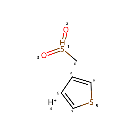 C[SH](=O)=O.[H+].c1ccsc1